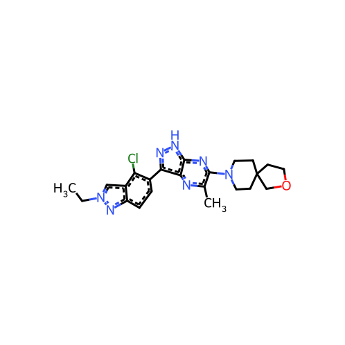 CCn1cc2c(Cl)c(-c3n[nH]c4nc(N5CCC6(CCOC6)CC5)c(C)nc34)ccc2n1